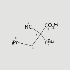 CCCCC(C#N)(CC(C)C)C(=O)O